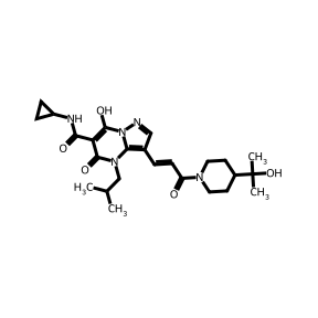 CC(C)Cn1c(=O)c(C(=O)NC2CC2)c(O)n2ncc(C=CC(=O)N3CCC(C(C)(C)O)CC3)c12